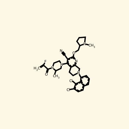 C=C(F)C(=O)N1CCN(c2c(C#N)c(OCC3CCCN3C)nc3c2CCN(c2cccc4ccc(Cl)c(Cl)c24)C3)CC1C